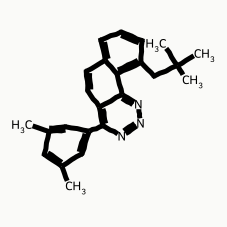 Cc1cc(C)cc(-c2nnnc3c2ccc2cccc(CC(C)(C)C)c23)c1